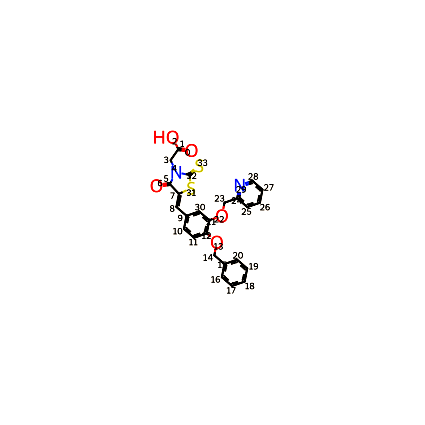 O=C(O)CN1C(=O)C(=Cc2ccc(OCc3ccccc3)c(OCc3ccccn3)c2)SC1=S